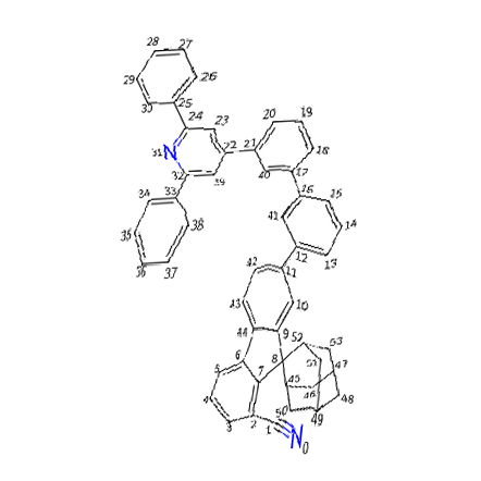 N#Cc1cccc2c1C1(c3cc(-c4cccc(-c5cccc(-c6cc(-c7ccccc7)nc(-c7ccccc7)c6)c5)c4)ccc3-2)C2CC3CC(C2)CC1C3